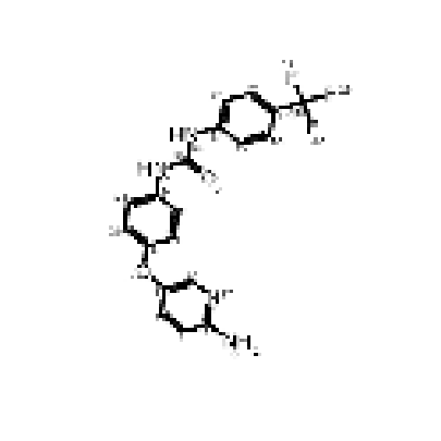 Nc1ccc(Oc2ccc(NC(=O)Nc3ccc(C(F)(F)F)cc3)cc2)cn1